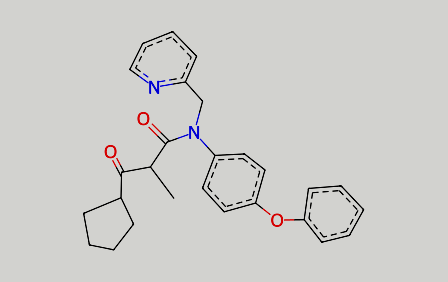 CC(C(=O)C1CCCC1)C(=O)N(Cc1ccccn1)c1ccc(Oc2ccccc2)cc1